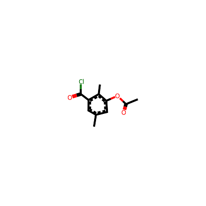 CC(=O)Oc1cc(C)cc(C(=O)Cl)c1C